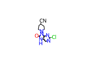 N#CC1CCN(n2c(=O)[nH]c3cnc(Cl)nc32)CC1